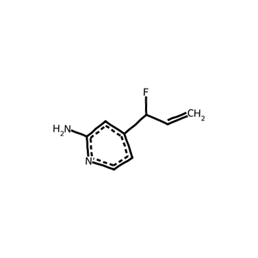 C=CC(F)c1ccnc(N)c1